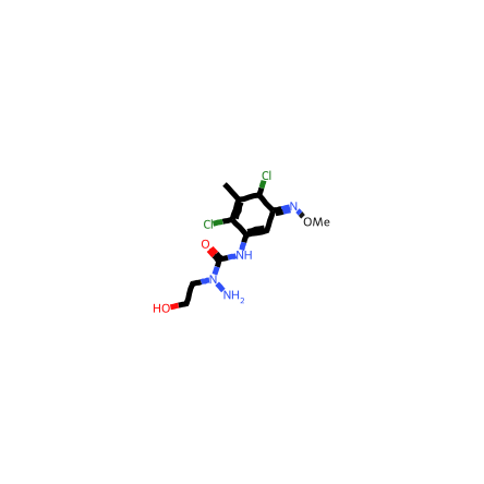 CON=C1C=C(NC(=O)N(N)CCO)C(Cl)=C(C)C1Cl